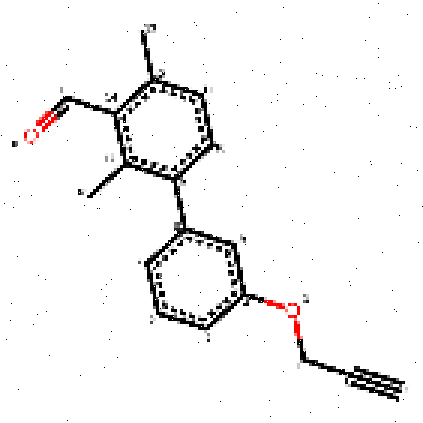 C#CCOc1cccc(-c2ccc(C)c(C=O)c2C)c1